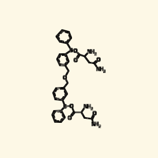 NC(=O)CC(N)C(=O)OB(c1ccccc1)c1cccc(COCc2cccc(B(OC(=O)C(N)CC(N)=O)c3ccccc3)c2)c1